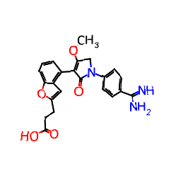 COC1=C(c2cccc3oc(CCC(=O)O)cc23)C(=O)N(c2ccc(C(=N)N)cc2)C1